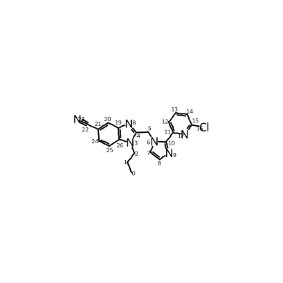 CCCn1c(Cn2ccnc2-c2cccc(Cl)n2)nc2cc(C#N)ccc21